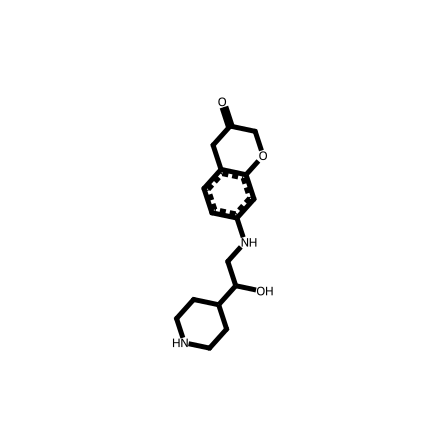 O=C1COc2cc(NCC(O)C3CCNCC3)ccc2C1